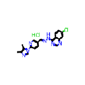 Cc1ncn(-c2ccc(C=NNc3ncnc4cc(Cl)ccc34)cn2)c1C.Cl